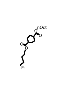 CCCCCCCCOC(=O)C1CCC(C(=O)OCCCCCC(C)C)CC1